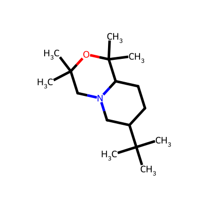 CC1(C)CN2CC(C(C)(C)C)CCC2C(C)(C)O1